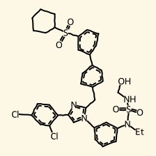 CCN(c1cccc(-n2cc(-c3ccc(Cl)cc3Cl)nc2Cc2ccc(-c3cccc(S(=O)(=O)C4CCCCC4)c3)cc2)c1)S(=O)(=O)NCO